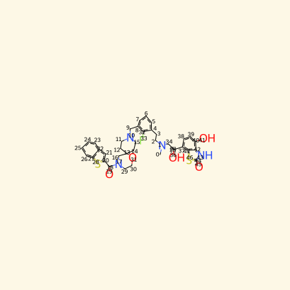 CN(CCc1cccc(CN2CCC3(CC2)CN(C(=O)c2cc4ccccc4s2)CCO3)c1F)C[C@H](O)c1ccc(O)c2[nH]c(=O)sc12